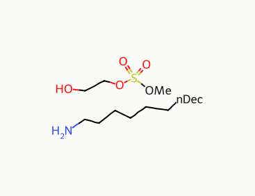 CCCCCCCCCCCCCCCCN.COS(=O)(=O)OCCO